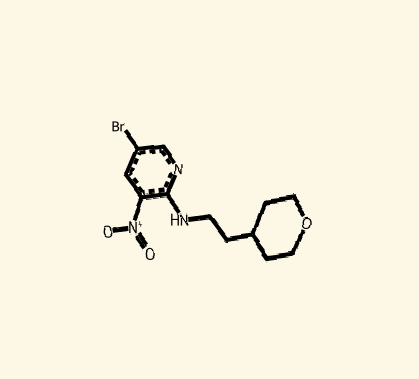 O=[N+]([O-])c1cc(Br)cnc1NCCC1CCOCC1